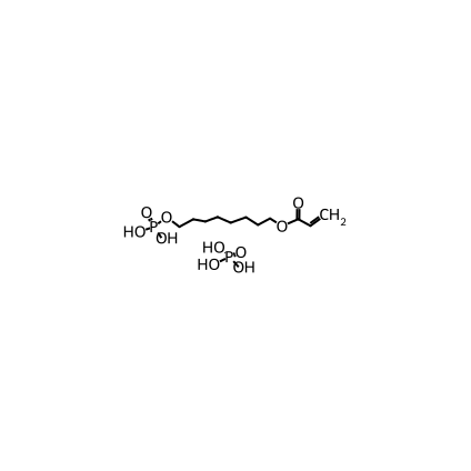 C=CC(=O)OCCCCCCCCOP(=O)(O)O.O=P(O)(O)O